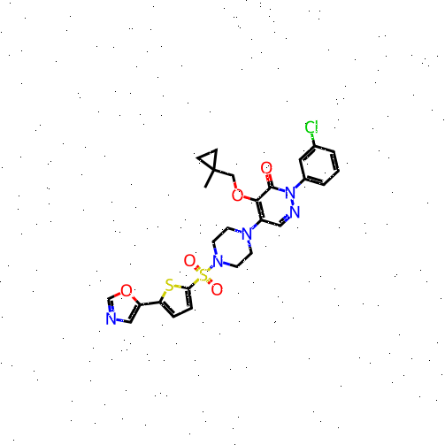 CC1(COc2c(N3CCN(S(=O)(=O)c4ccc(-c5cnco5)s4)CC3)cnn(-c3cccc(Cl)c3)c2=O)CC1